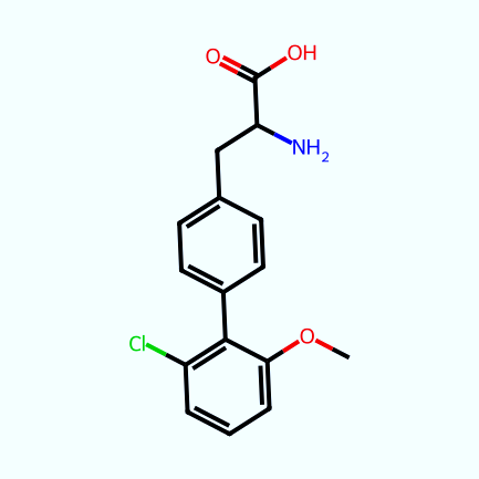 COc1cccc(Cl)c1-c1ccc(CC(N)C(=O)O)cc1